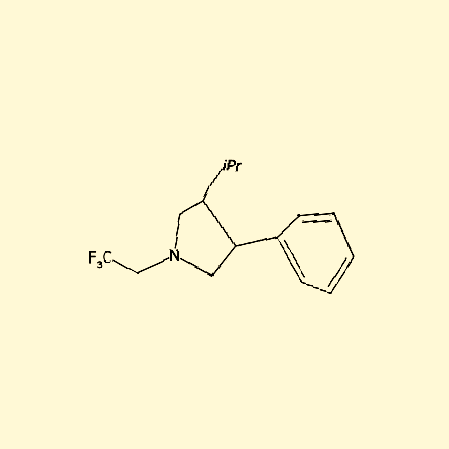 CC(C)C1CN(CC(F)(F)F)CC1c1ccccc1